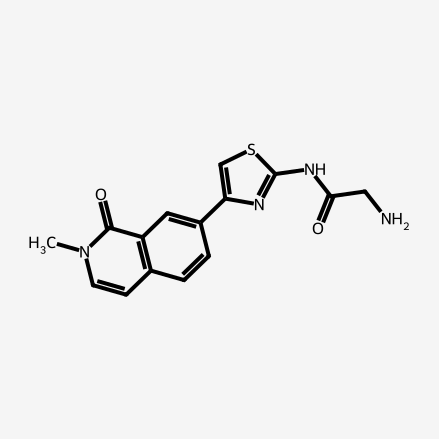 Cn1ccc2ccc(-c3csc(NC(=O)CN)n3)cc2c1=O